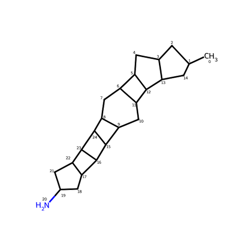 CC1CC2CC3C4CC5C(CC4C3C2C1)C1C2C3CC(N)CC3C2C51